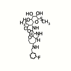 CSC1O[C@H]([C@H](NC(=O)[C@H]2NC[C@@H]3CC(NCc4cccc(F)c4)CCO[C@H]32)[C@H](C)Cl)C(O)C(O)[C@H]1O